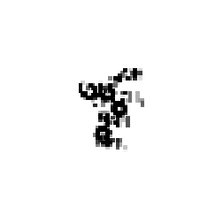 Cc1ccc(NC(=O)c2ccnc(C(F)(F)F)c2)cc1-c1cc(OCCO)nc(C2(C)CCOCC2)c1